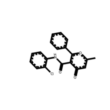 Cc1cc(=O)c(C(=O)Nc2ccccc2Cl)c(-c2ccccc2)o1